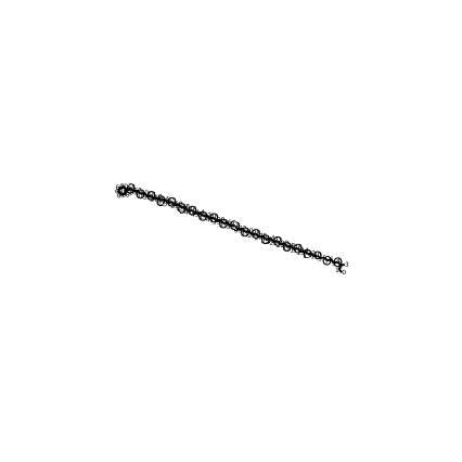 CCC(C)OCCOCCOCCOCCOCCOCCOCCOCCOCCOCCOCCOCCOCCOCCOCCOCCOCCOCCOCCOCCOc1ccccc1